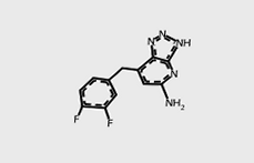 Nc1cc(Cc2ccc(F)c(F)c2)c2nn[nH]c2n1